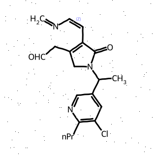 C=N/C=C\C1=C(CC=O)CN(C(C)c2cnc(CCC)c(Cl)c2)C1=O